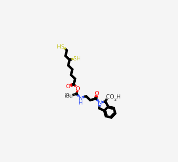 CCC(C)C(NCCC(=O)N1Cc2ccccc2C1C(=O)O)OC(=O)CCCCC(S)CCS